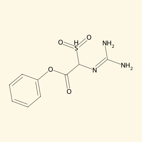 NC(N)=NC(C(=O)Oc1ccccc1)[SH](=O)=O